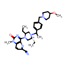 CCC1CN(C(C)c2ccc(CN3CCC(OC)CC3)cc2)[C@H](CC)CN1c1nc(=O)n(C)c2ccc(C#N)nc12